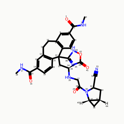 CNC(=O)c1ccc2c(c1)CCc1cc(C(=O)NC)ccc1C2(C[C@@H](C)NCC(=O)N1C(C#N)C[C@@H]2C[C@@H]21)c1nc(=O)o[nH]1